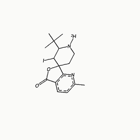 [2H]N1CCC2(OC(=O)c3ccc(C)nc32)C(I)C1C(C)(C)C